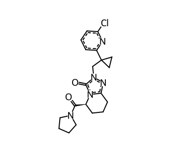 O=C([C@@H]1CCCc2nn(CC3(c4cccc(Cl)n4)CC3)c(=O)n21)N1CCCC1